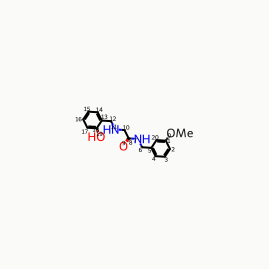 COc1cccc(CNC(=O)CNCc2ccccc2O)c1